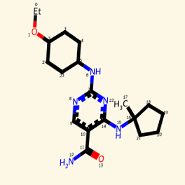 CCOC1CCC(Nc2ncc(C(N)=O)c(NC3(C)CCCC3)n2)CC1